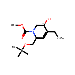 COCC1=CC(CO[Si](C)(C)C(C)(C)C)N(C(=O)OC(C)(C)C)C[C@H]1O